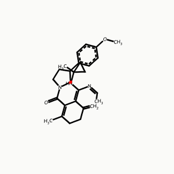 C=C1CCC(C)=C(C(=O)N2CCC(c3ccc(OC)cc3)C2)/C1=C(/N=C\C)NC1(C)CC1